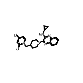 O=c1cc(Cl)ccn1CC1CCN(c2nc3ccccc3nc2NC2CC2)CC1